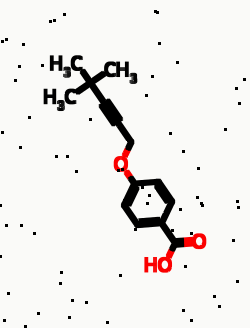 CC(C)(C)C#CCOc1ccc(C(=O)O)cc1